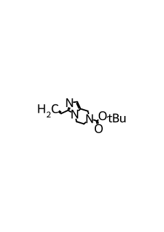 C=Cc1ncc2n1CCN(C(=O)OC(C)(C)C)C2